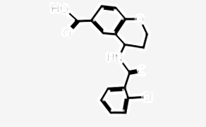 O=C(O)c1ccc2c(c1)C(NC(=O)c1ccccc1Cl)CCO2